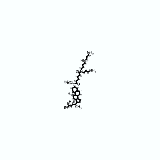 CC[C@H](CC[C@@H](C)C1CCC2C3CC=C4CC(OC(=O)CCCCC(=O)N(CCCN)CCCCNCCCN)CCC4(C)C3CCC21C)C(C)C.Cl.Cl.Cl